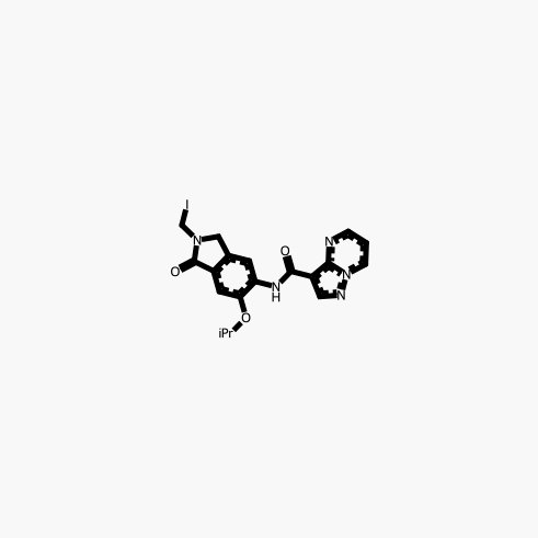 CC(C)Oc1cc2c(cc1NC(=O)c1cnn3cccnc13)CN(CI)C2=O